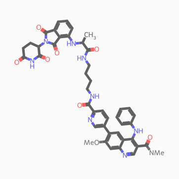 CNC(=O)c1cnc2cc(OC)c(-c3ccc(C(=O)NCCCCNC(=O)C(C)Nc4cccc5c4C(=O)N(C4CCC(=O)NC4=O)C5=O)nc3)cc2c1Nc1ccccc1